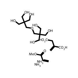 C=C(CC(=O)O)C(=O)O.C=CC(=O)OC.N.N.OCC(CO)(CO)COCC(CO)(CO)CO